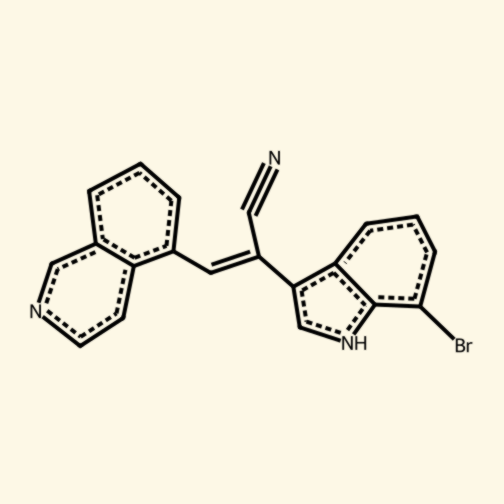 N#CC(=Cc1cccc2cnccc12)c1c[nH]c2c(Br)cccc12